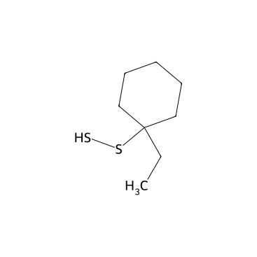 CCC1(SS)CCCCC1